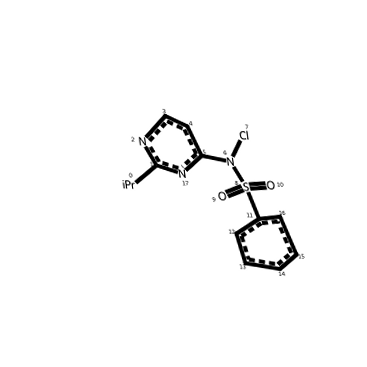 CC(C)c1nccc(N(Cl)S(=O)(=O)c2ccccc2)n1